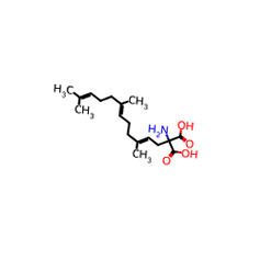 CC(C)=CCCC(C)=CCCC(C)=CCC(N)(C(=O)O)C(=O)O